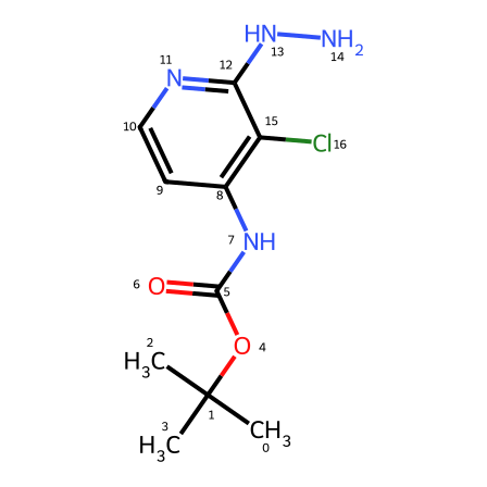 CC(C)(C)OC(=O)Nc1ccnc(NN)c1Cl